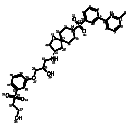 Cc1cccc(-c2cccc(S(=O)(=O)N3CCC4(CC3)C[C@H](NCC(O)COc3cccc(S(=O)(=O)CCO)c3)CO4)c2)n1